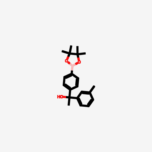 Cc1cccc(C(C)(O)c2ccc(B3OC(C)(C)C(C)(C)O3)cc2)c1